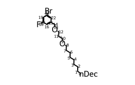 CCCCCCCCCCCCCCCCCCOC[CH]COCc1cc(F)cc(Br)c1